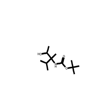 CC(C)C(C)(NC(=O)OC(C)(C)C)C(C)O